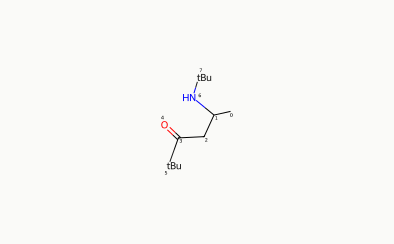 CC(CC(=O)C(C)(C)C)NC(C)(C)C